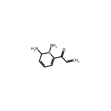 C=CC(=O)C1=CC=CC(N)N1N